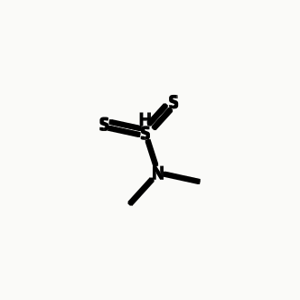 CN(C)[SH](=S)=S